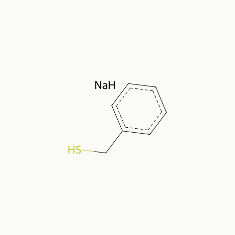 SCc1ccccc1.[NaH]